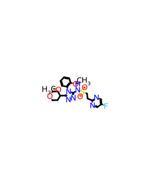 COc1cccc(OC)c1-n1c(NS(=O)(=O)CCc2ncc(F)cn2)nnc1C1CCOCC1